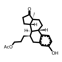 CC(=O)OCCC[C@@H]1Cc2cc(O)ccc2[C@H]2CC[C@]3(C)C(=O)CC[C@H]3[C@H]12